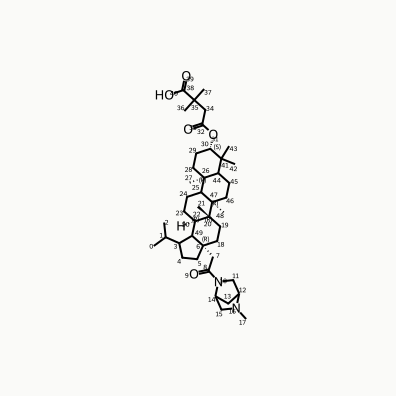 CC(C)C1CC[C@]2(CC(=O)N3CC4CC3CN4C)CC[C@]3(C)[C@H](CCC4[C@@]5(C)CC[C@H](OC(=O)CC(C)(C)C(=O)O)C(C)(C)C5CC[C@]43C)C12